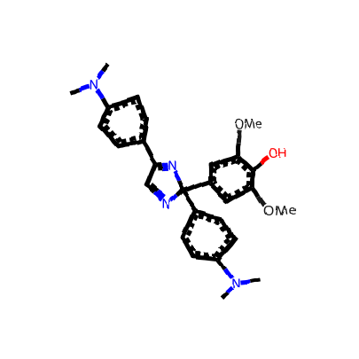 COc1cc(C2(c3ccc(N(C)C)cc3)N=CC(c3ccc(N(C)C)cc3)=N2)cc(OC)c1O